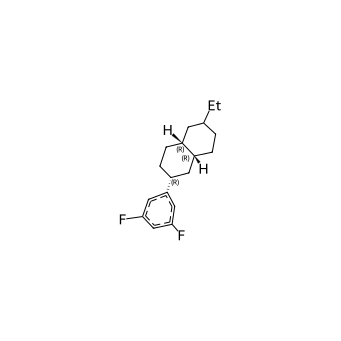 CCC1CC[C@@H]2C[C@H](c3cc(F)cc(F)c3)CC[C@@H]2C1